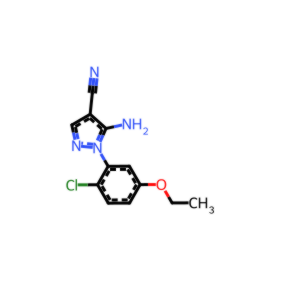 CCOc1ccc(Cl)c(-n2ncc(C#N)c2N)c1